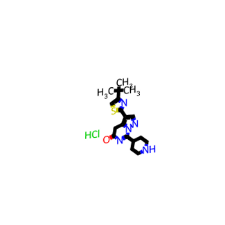 CC(C)(C)c1csc(-c2cnn3c2CC(=O)N=C3C2CCNCC2)n1.Cl